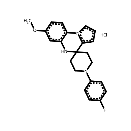 COc1ccc2c(c1)NC1(CCN(c3ccc(F)cc3)CC1)c1cccn1-2.Cl